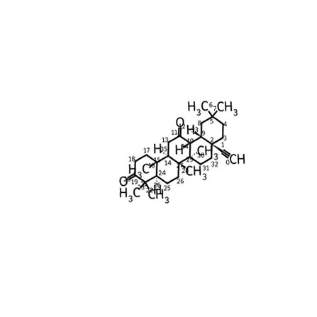 C#C[C@]12CCC(C)(C)C[C@H]1[C@H]1C(=O)C[C@@H]3[C@@]4(C)CCC(=O)C(C)(C)[C@@H]4CC[C@@]3(C)[C@]1(C)CC2